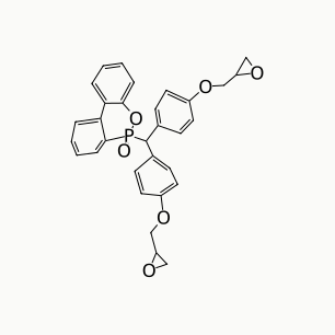 O=P1(C(c2ccc(OCC3CO3)cc2)c2ccc(OCC3CO3)cc2)Oc2ccccc2-c2ccccc21